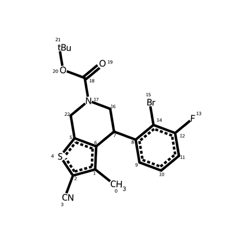 Cc1c(C#N)sc2c1C(c1cccc(F)c1Br)CN(C(=O)OC(C)(C)C)C2